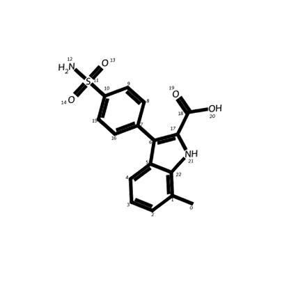 Cc1cccc2c(-c3ccc(S(N)(=O)=O)cc3)c(C(=O)O)[nH]c12